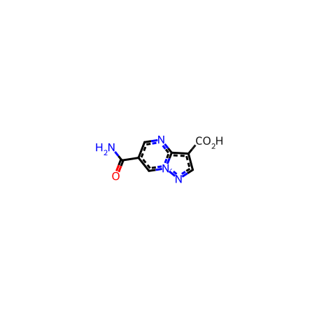 NC(=O)c1cnc2c(C(=O)O)cnn2c1